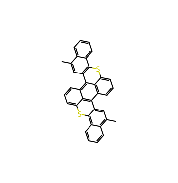 Cc1cc2c(sc3cccc4c3c2c2cccc3sc5c6ccccc6c(C)cc5c4c32)c2ccccc12